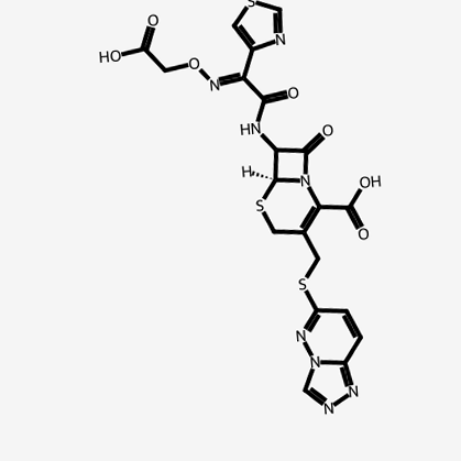 O=C(O)CON=C(C(=O)NC1C(=O)N2C(C(=O)O)=C(CSc3ccc4nncn4n3)CS[C@@H]12)c1cscn1